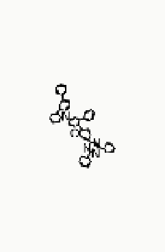 c1ccc(-c2ccc3c(c2)c2ccccc2n3-c2cc(-c3ccccc3)c3c(c2)oc2cc(-c4nc(-c5ccccc5)nc(-c5ccccc5)n4)ccc23)cc1